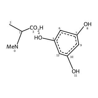 CNC(C)C(=O)O.Oc1cc(O)cc(O)c1